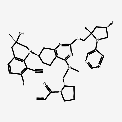 C#Cc1c(F)ccc2c1N([C@@H]1CCc3c(nc(OC[C@]4(C)C[C@@H](F)CN4c4cncnc4)nc3N(C)C[C@@H]3CCCN3C(=O)C=C)C1)C[C@](C)(O)C2